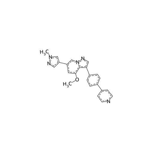 COc1cc(-c2cnn(C)c2)cn2ncc(-c3ccc(-c4ccncc4)cc3)c12